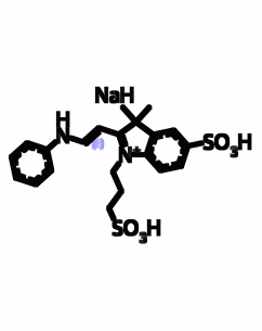 CC1(C)C(/C=C/Nc2ccccc2)=[N+](CCCS(=O)(=O)O)c2ccc(S(=O)(=O)O)cc21.[NaH]